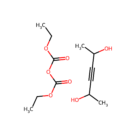 CC(O)C#CC(C)O.CCOC(=O)OC(=O)OCC